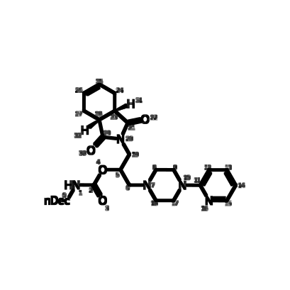 CCCCCCCCCCNC(=O)OC(CN1CCN(c2ccccn2)CC1)CN1C(=O)[C@H]2CC=CC[C@H]2C1=O